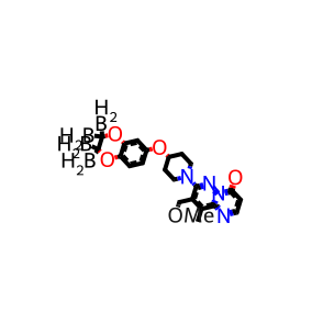 BC1(B)Oc2ccc(OC3CCN(c4nn5c(=O)ccnc5c(C)c4COC)CC3)cc2OC1(B)B